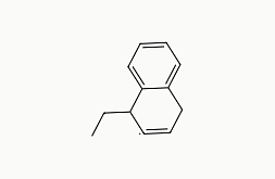 CCC1[C]=CCc2ccccc21